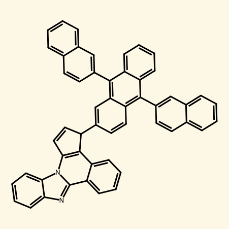 C1=CC(c2ccc3c(-c4ccc5ccccc5c4)c4ccccc4c(-c4ccc5ccccc5c4)c3c2)c2c1n1c3ccccc3nc1c1ccccc21